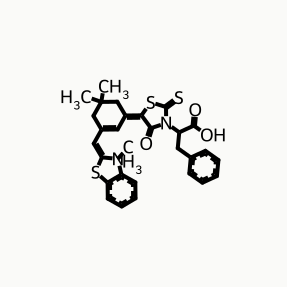 CN1C(=CC2=CC(=C3SC(=S)N(C(Cc4ccccc4)C(=O)O)C3=O)CC(C)(C)C2)Sc2ccccc21